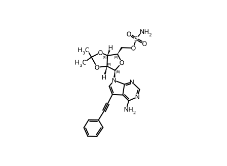 CC1(C)O[C@@H]2[C@H](O1)[C@@H](COS(N)(=O)=O)O[C@H]2n1cc(C#Cc2ccccc2)c2c(N)ncnc21